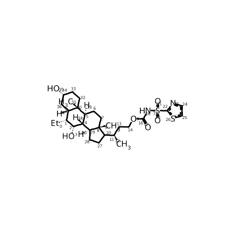 CC[C@H]1[C@@H](O)[C@@H]2[C@H](CC[C@]3(C)C([C@H](C)CCOC(=O)NS(=O)(=O)c4nccs4)CC[C@@H]23)[C@@]2(C)CC[C@@H](O)C[C@@H]12